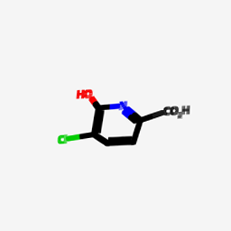 O=C(O)c1ccc(Cl)c(O)n1